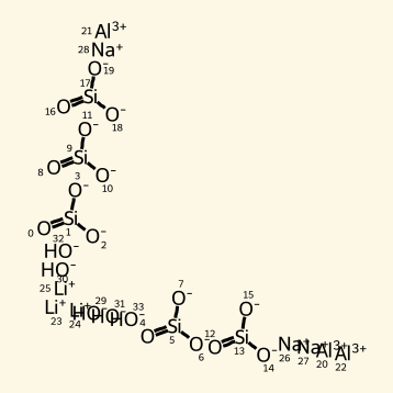 O=[Si]([O-])[O-].O=[Si]([O-])[O-].O=[Si]([O-])[O-].O=[Si]([O-])[O-].O=[Si]([O-])[O-].[Al+3].[Al+3].[Al+3].[Li+].[Li+].[Li+].[Na+].[Na+].[Na+].[OH-].[OH-].[OH-].[OH-].[OH-]